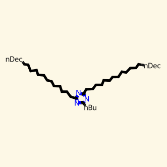 [CH2]CCCc1nc(CCCCCCCCCCCCCCCCCCCCCCC)nc(CCCCCCCCCCCCCCCCCCCCCCC)n1